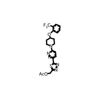 CC(=O)OCc1nnc(-c2ccc(N3CCC(Oc4ccccc4C(F)(F)F)CC3)nn2)s1